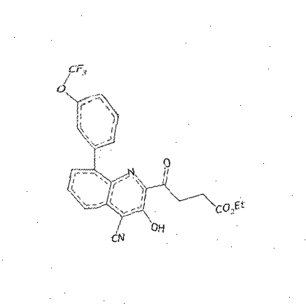 CCOC(=O)CCC(=O)c1nc2c(-c3cccc(OC(F)(F)F)c3)cccc2c(C#N)c1O